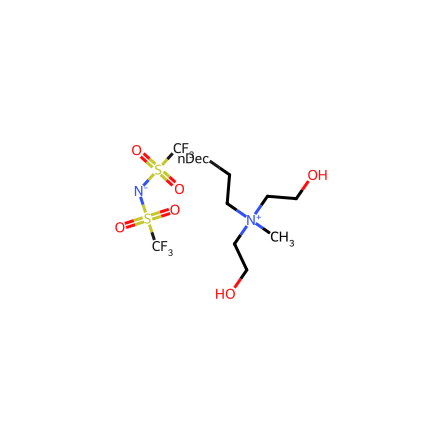 CCCCCCCCCCCC[N+](C)(CCO)CCO.O=S(=O)([N-]S(=O)(=O)C(F)(F)F)C(F)(F)F